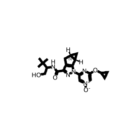 CC(C)(C)C(CO)NC(=O)c1nn(-c2c[n+]([O-])cc(OC3CC3)n2)c2c1C[C@@H]1C[C@H]21